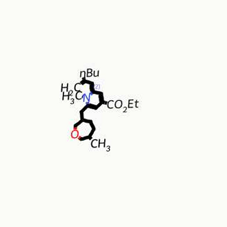 C=C(/C=C1/C=C(C(=O)OCC)C=C(CC2CCC(C)COC2)N1C)CCCC